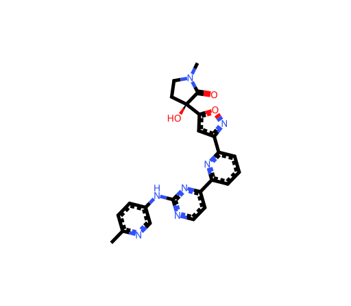 Cc1ccc(Nc2nccc(-c3cccc(-c4cc([C@]5(O)CCN(C)C5=O)on4)n3)n2)cn1